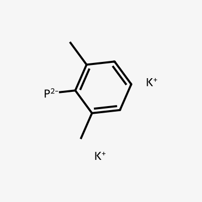 Cc1cccc(C)c1[P-2].[K+].[K+]